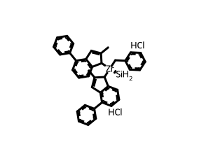 CC1=Cc2c(-c3ccccc3)cccc2[CH]1[Zr](=[SiH2])([CH2]c1ccccc1)[CH]1C(C)=Cc2c(-c3ccccc3)cccc21.Cl.Cl